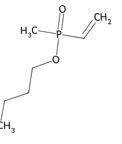 C=CP(C)(=O)OCCCC